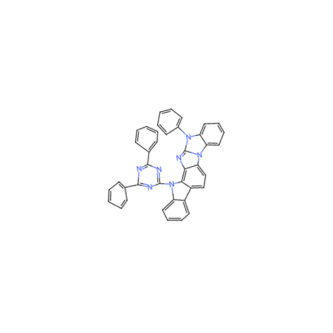 c1ccc(-c2nc(-c3ccccc3)nc(-n3c4ccccc4c4ccc5c(nc6n(-c7ccccc7)c7ccccc7n56)c43)n2)cc1